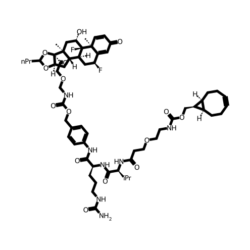 CCCC1O[C@@H]2C[C@H]3[C@@H]4C[C@H](F)C5=CC(=O)C=C[C@]5(C)[C@@]4(F)[C@@H](O)C[C@]3(C)[C@]2(C(=O)COCNC(=O)OCc2ccc(NC(=O)[C@H](CCCNC(N)=O)NC(=O)[C@@H](NC(=O)CCOCCNC(=O)OC[C@@H]3[C@@H]4CCC#CCC[C@@H]43)C(C)C)cc2)O1